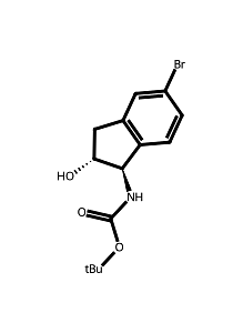 CC(C)(C)OC(=O)N[C@@H]1c2ccc(Br)cc2C[C@H]1O